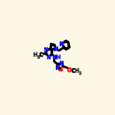 COCc1nc(CNc2nc(C)nc3ccn(Cc4ccccn4)c23)no1